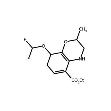 CCOC(=O)C1=CCC(OC(F)F)C2=C1NCC(C)O2